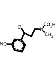 CN(CCC(Cl)c1cccc(C#N)c1)C(=O)O